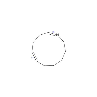 C1=C\CCCCC/N=C\CC/1